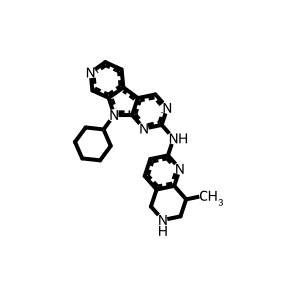 CC1CNCc2ccc(Nc3ncc4c5ccncc5n(C5CCCCC5)c4n3)nc21